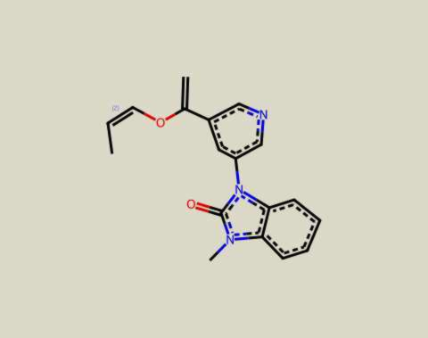 C=C(O/C=C\C)c1cncc(-n2c(=O)n(C)c3ccccc32)c1